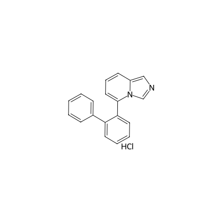 Cl.c1ccc(-c2ccccc2-c2cccc3cncn23)cc1